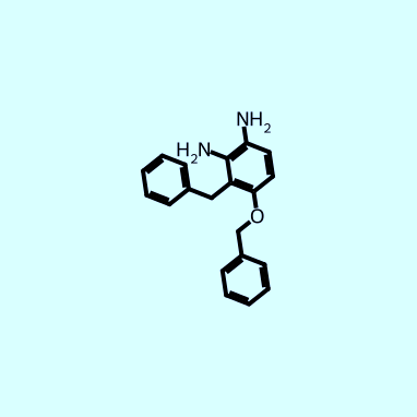 Nc1ccc(OCc2ccccc2)c(Cc2ccccc2)c1N